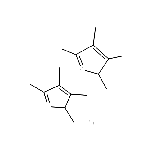 CC1=[C-]C(C)C(C)=C1C.CC1=[C-]C(C)C(C)=C1C.[Ni+2]